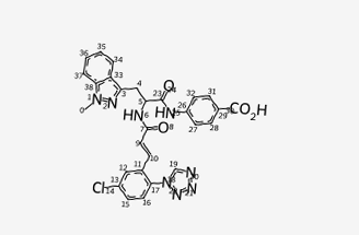 Cn1nc(CC(NC(=O)C=Cc2cc(Cl)ccc2-n2cnnn2)C(=O)Nc2ccc(C(=O)O)cc2)c2ccccc21